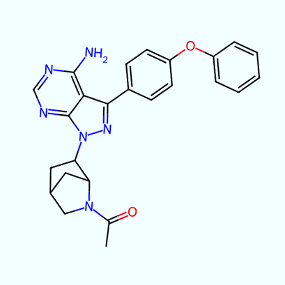 CC(=O)N1CC2CC1C(n1nc(-c3ccc(Oc4ccccc4)cc3)c3c(N)ncnc31)C2